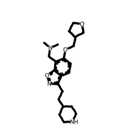 CN(C)Cc1c(OCC2CCOC2)ccc2c(CCC3CCNCC3)noc12